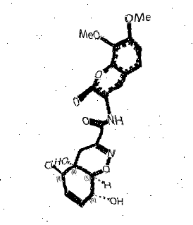 COc1ccc2cc(NC(=O)C3=NO[C@H]4[C@H](O)C=C[C@@H](Cl)[C@@]4(O)C3)c(=O)oc2c1OC